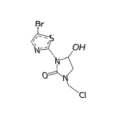 O=C1N(CCl)CC(O)N1c1ncc(Br)s1